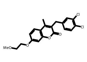 COCCOc1ccc2c(C)c(Cc3ccc(Cl)c(Cl)c3)c(=O)oc2c1